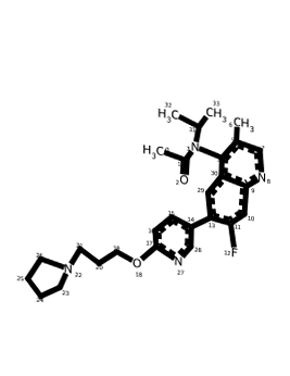 CC(=O)N(c1c(C)cnc2cc(F)c(-c3ccc(OCCCN4CCCC4)nc3)cc12)C(C)C